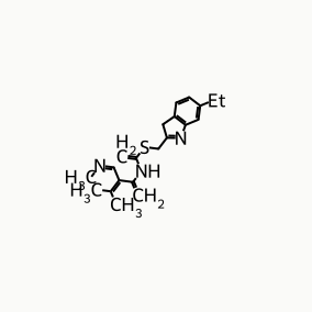 C=C(NC(=C)C(/C=N\C)=C(C)C)SCC1=Nc2cc(CC)ccc2C1